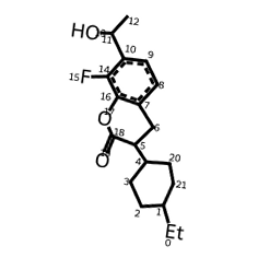 CCC1CCC(C2Cc3ccc(C(C)O)c(F)c3OC2=O)CC1